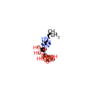 C=C(C)CCNc1ncnc2c1ncn2[C@@H]1O[C@H](COP(=O)(O)OP(=O)(O)OP(=O)(O)O)[C@@H](O)[C@H]1O